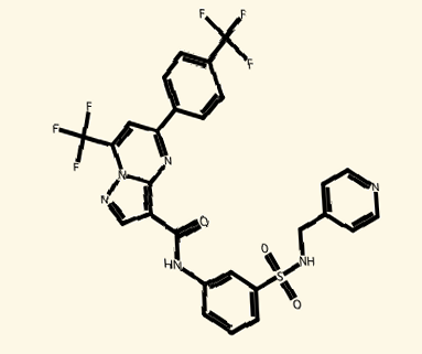 O=C(Nc1cccc(S(=O)(=O)NCc2ccncc2)c1)c1cnn2c(C(F)(F)F)cc(-c3ccc(C(F)(F)F)cc3)nc12